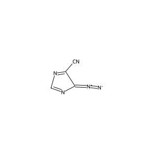 N#CC1=NC=NC1=[N+]=[N-]